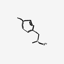 Cc1ccc(CN(C)C(C)C)cc1